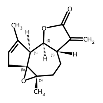 C=C1C(=O)O[C@H]2[C@H]1CC[C@]1(C)O[C@@]13CC=C(C)[C@@H]23